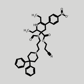 CCC1=C(c2ccc([N+](=O)[O-])cc2)CC(C(=O)OCCC#N)(N(C=O)CCCN2CCC(c3ccccc3)(c3ccccc3)CC2)C(CC)N1